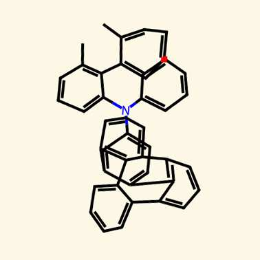 Cc1ccccc1-c1c(C)cccc1N(c1ccccc1)c1ccc2c(c1)-c1cccc3c1-c1ccccc1-c1cccc-3c1-2